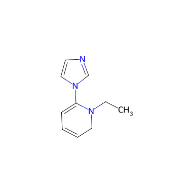 CCN1CC=CC=C1n1ccnc1